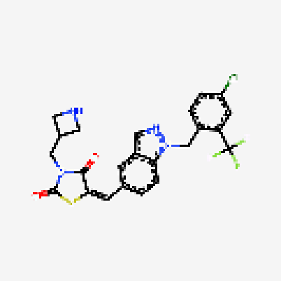 O=C1SC(=Cc2ccc3c(cnn3Cc3ccc(Cl)cc3C(F)(F)F)c2)C(=O)N1CC1CNC1